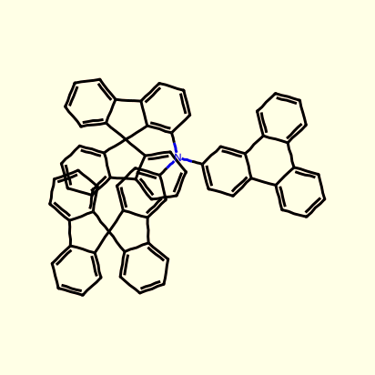 c1ccc2c(c1)-c1ccccc1C21c2ccccc2-c2cc(N(c3ccc4c5ccccc5c5ccccc5c4c3)c3cccc4c3C3(c5ccccc5-c5ccccc53)c3ccccc3-4)ccc21